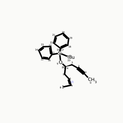 CC#CC[C@@H](C/C=C\I)O[Si](c1ccccc1)(c1ccccc1)C(C)(C)C